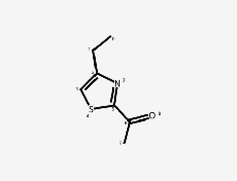 CCc1csc(C(C)=O)n1